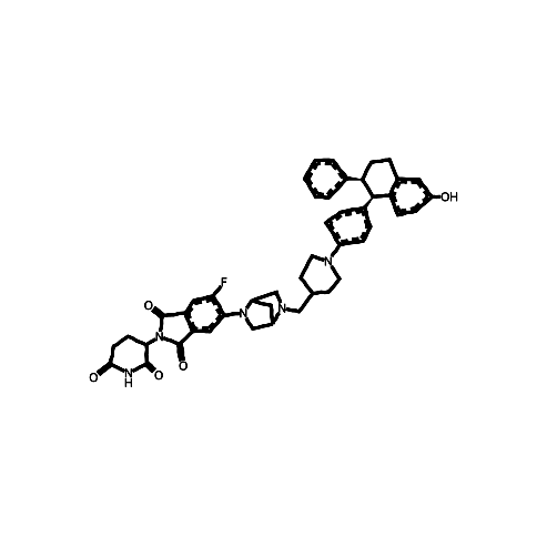 O=C1CCC(N2C(=O)c3cc(F)c(N4CC5CC4CN5CC4CCN(c5ccc([C@@H]6c7ccc(O)cc7CC[C@@H]6c6ccccc6)cc5)CC4)cc3C2=O)C(=O)N1